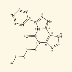 CCCCCn1c(=O)n2c(-c3ccncn3)nnc2c2[nH]cnc21